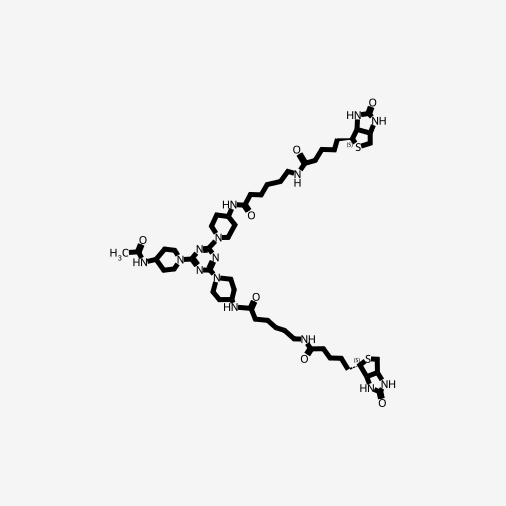 CC(=O)NC1CCN(c2nc(N3CCC(NC(=O)CCCCCNC(=O)CCCC[C@@H]4SCC5NC(=O)NC54)CC3)nc(N3CCC(NC(=O)CCCCCNC(=O)CCCC[C@@H]4SCC5NC(=O)NC54)CC3)n2)CC1